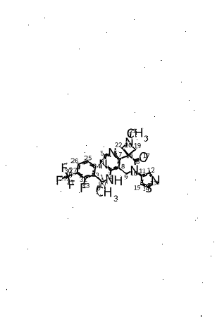 C[C@@H](Nc1ncnc2c1CN(c1cnsc1)C(=O)C21CN(C)C1)c1cccc(C(F)(F)F)c1F